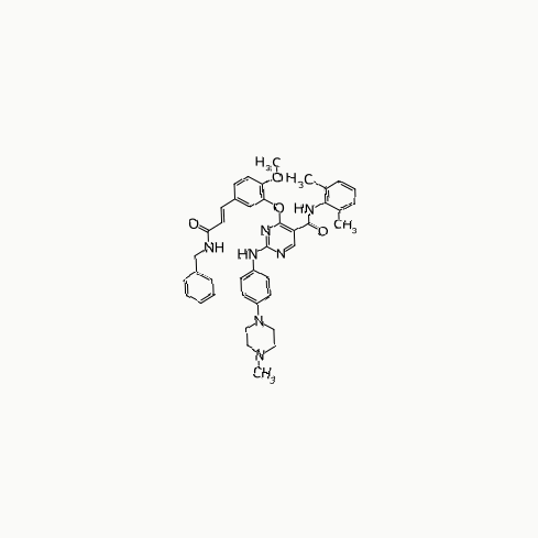 COc1ccc(C=CC(=O)NCc2ccccc2)cc1Oc1nc(Nc2ccc(N3CCN(C)CC3)cc2)ncc1C(=O)Nc1c(C)cccc1C